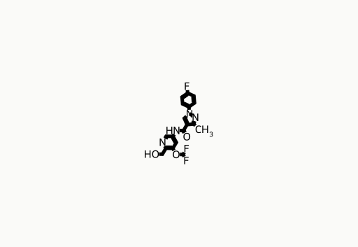 Cc1nn(-c2ccc(F)cc2)cc1C(=O)Nc1cnc(CO)c(OC(F)F)c1